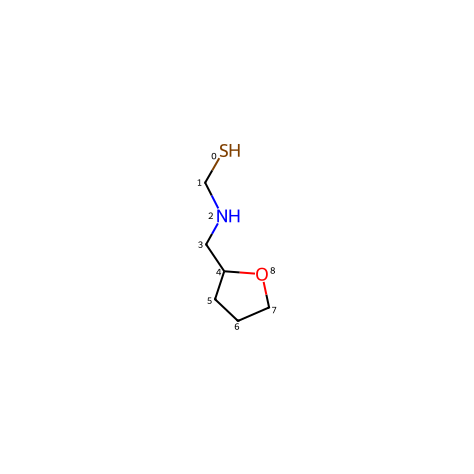 SCNCC1CCCO1